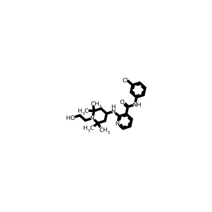 CC1(C)CC(Nc2ncccc2C(=O)Nc2cccc(Cl)c2)CC(C)(C)N1CCO